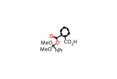 CCCC(OC)(OC)OC(=O)c1ccccc1C(=O)O